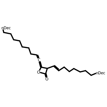 CCCCCCCCCCCCCCCCC=CC1C(=O)OC1=C=CCCCCCCCCCCCCCCCCC